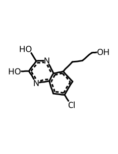 OCCCc1cc(Cl)cc2nc(O)c(O)nc12